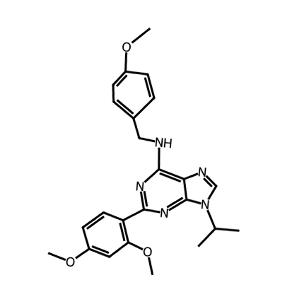 COc1ccc(CNc2nc(-c3ccc(OC)cc3OC)nc3c2ncn3C(C)C)cc1